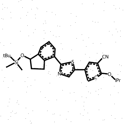 CC(C)Oc1ccc(-c2cnc(-c3cccc4c3CCC4O[Si](C)(C)C(C)(C)C)s2)cc1C#N